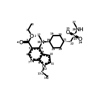 CCOC(=O)c1cnc2c(ccn2SI)c1N(C)[C@H]1CC[C@H](CS(=O)(=O)NC)CC1